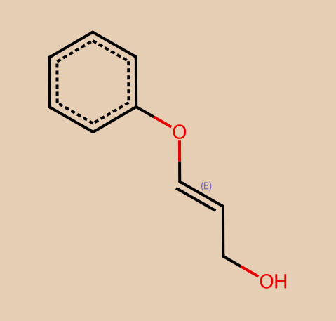 OC/C=C/Oc1ccccc1